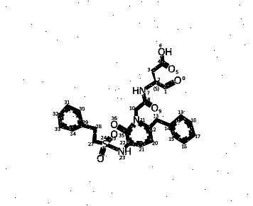 O=C[C@H](CC(=O)O)NC(=O)Cn1c(Cc2ccccc2)ccc(NS(=O)(=O)CCc2ccccc2)c1=O